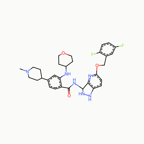 CN1CCC(c2ccc(C(=O)NC3NNc4ccc(OCc5cc(F)ccc5F)nc43)c(NC3CCOCC3)c2)CC1